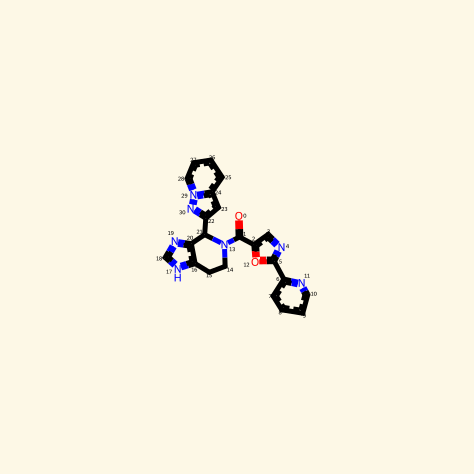 O=C(c1cnc(-c2ccccn2)o1)N1CCc2[nH]cnc2C1c1cc2ccccn2n1